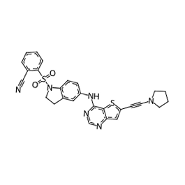 N#Cc1ccccc1S(=O)(=O)N1CCc2cc(Nc3ncnc4cc(C#CN5CCCC5)sc34)ccc21